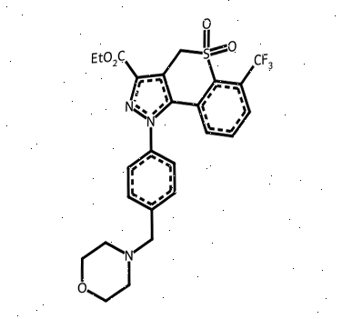 CCOC(=O)c1nn(-c2ccc(CN3CCOCC3)cc2)c2c1CS(=O)(=O)c1c-2cccc1C(F)(F)F